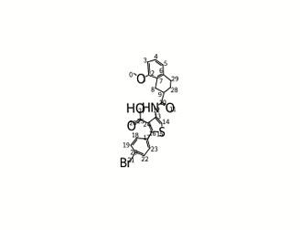 COc1cccc2c1CC(C(=O)Nc1csc(-c3ccc(Br)cc3)c1C(=O)O)CC2